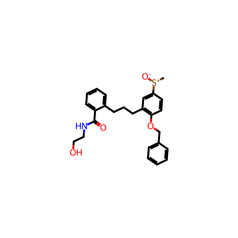 C[S+]([O-])c1ccc(OCc2ccccc2)c(CCCc2ccccc2C(=O)NCCO)c1